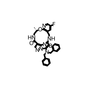 C[C@H]1CNC(=O)c2cnn3c(N(Cc4ccccc4)Cc4ccccc4)c(Br)c(nc23)NCc2cc(F)cnc2O1